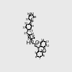 O=C(CC1c2ccccc2Oc2ccccc21)Nc1nc(Cc2ccc(-c3ccncc3)cc2)cs1